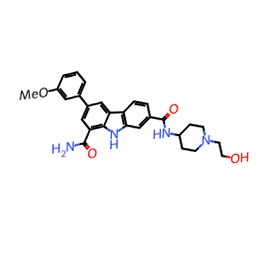 COc1cccc(-c2cc(C(N)=O)c3[nH]c4cc(C(=O)NC5CCN(CCO)CC5)ccc4c3c2)c1